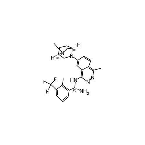 Cc1c([C@@H](N)Nc2nnc(C)c3ccc(N4C[C@H]5CC[C@@H]4CN5C)cc23)cccc1C(F)(F)F